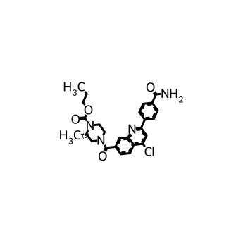 CCCOC(=O)N1CCN(C(=O)c2ccc3c(Cl)cc(-c4ccc(C(N)=O)cc4)nc3c2)C[C@@H]1C